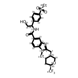 CCn1c(C[C@@H]2CC[C@H](C(F)(F)F)OC2)nc2cc(C(=O)NC(CO)c3ccc(S(=O)(=O)CC)cc3)ccc21